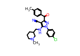 Cc1ccc(C(=O)c2nn(-c3ccc(Cl)cc3)c(NCC3CCCN(C)C3)c2C#N)cc1